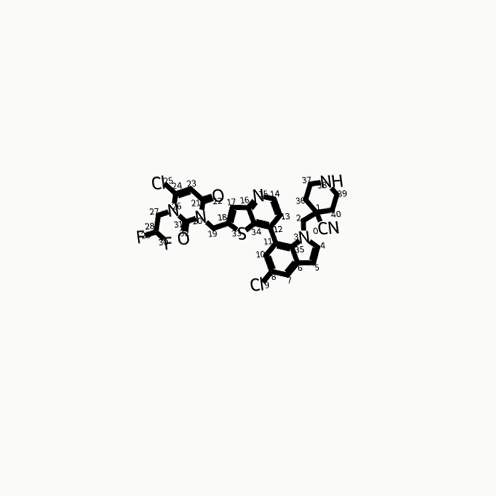 N#CC1(Cn2ccc3cc(Cl)cc(-c4ccnc5cc(Cn6c(=O)cc(Cl)n(CC(F)F)c6=O)sc45)c32)CCNCC1